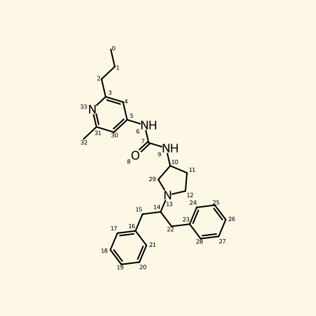 CCCc1cc(NC(=O)NC2CCN(C(Cc3ccccc3)Cc3ccccc3)C2)cc(C)n1